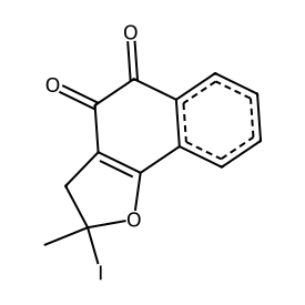 CC1(I)CC2=C(O1)c1ccccc1C(=O)C2=O